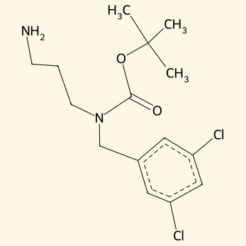 CC(C)(C)OC(=O)N(CCCN)Cc1cc(Cl)cc(Cl)c1